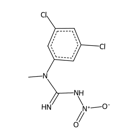 CN(C(=N)N[N+](=O)[O-])c1cc(Cl)cc(Cl)c1